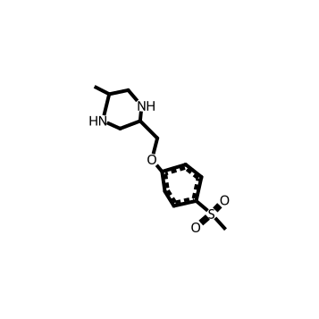 CC1CNC(COc2ccc(S(C)(=O)=O)cc2)CN1